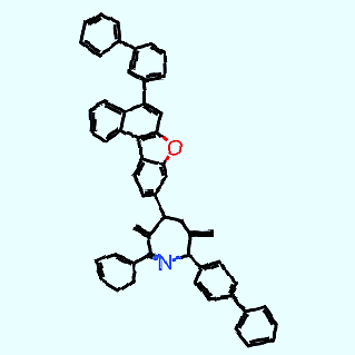 C=C1C(C2=CC=CCC2)=NC(c2ccc(-c3ccccc3)cc2)C(=C)CC1c1ccc2c(c1)oc1cc(-c3cccc(-c4ccccc4)c3)c3ccccc3c12